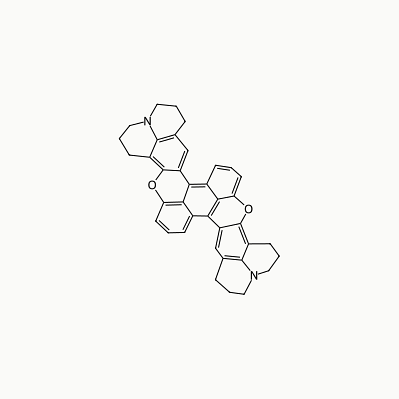 c1cc2oc3c4c5c(cc3c3c6cccc7oc8c9c%10c(cc8c(c(c1)c23)c76)CCCN%10CCC9)CCCN5CCC4